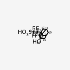 O=S(=O)(O)C(F)(F)C(F)(F)C12CC3CC(CC(O)(C3)C1)C2